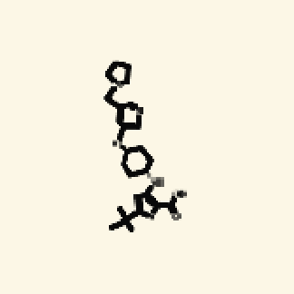 CC(C)(C)c1cc(N[C@H]2CC[C@H](Oc3cncc(CN4CCCC4)c3)CC2)c(C(=O)O)s1